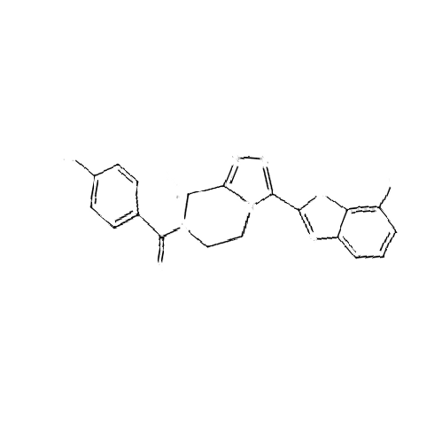 Cc1cccc2nc(-c3nnc4n3CCN(C(=O)c3ccc(Cl)cc3)[C@@H]4C)sc12